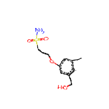 Cc1[c]c(CO)cc(OCCS(N)(=O)=O)c1